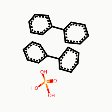 O=P(O)(O)O.c1ccc(-c2ccccc2)cc1.c1ccc(-c2ccccc2)cc1